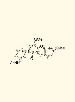 COc1ccc(Cn2c(=O)c(OC)nn(-c3cccc(NC(C)=O)c3)c2=O)cn1